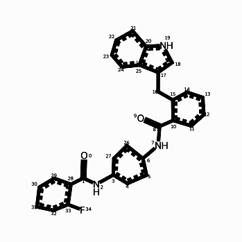 O=C(Nc1ccc(NC(=O)c2ccccc2Cc2c[nH]c3ccccc23)cc1)c1ccccc1F